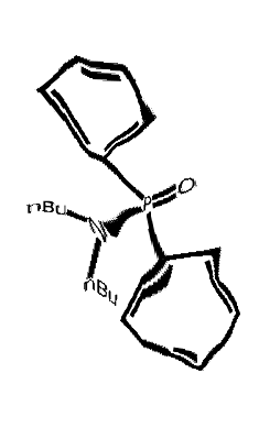 CCCCN(CCCC)P(=O)(c1ccccc1)c1ccccc1